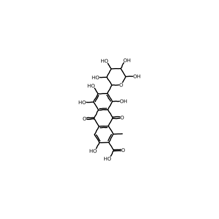 Cc1c(C(=O)O)c(O)cc2c1C(=O)c1c(O)c(C3OC(O)C(O)C(O)C3O)c(O)c(O)c1C2=O